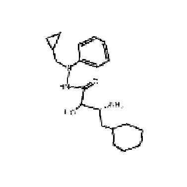 N[C@H](CC1CCCCC1)C(O)C(=O)NN(CC1CC1)c1ccccc1